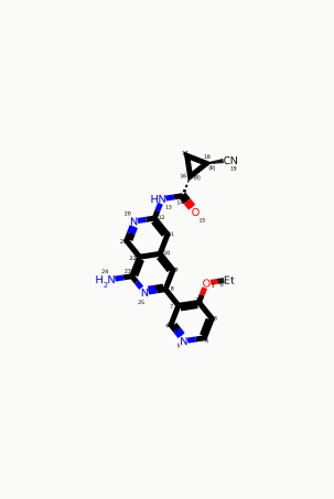 CCOc1ccncc1-c1cc2cc(NC(=O)[C@@H]3C[C@H]3C#N)ncc2c(N)n1